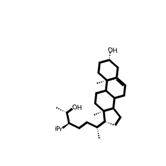 CC(C)[C@H](CC[C@@H](C)[C@H]1CCC2C3CC=C4C[C@@H](O)CC[C@]4(C)C3CC[C@@]21C)[C@H](C)O